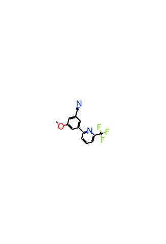 COc1cc(C#N)cc(-c2cccc(C(F)(F)F)n2)c1